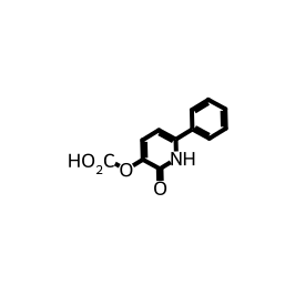 O=C(O)Oc1ccc(-c2ccccc2)[nH]c1=O